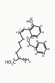 NC(CCCC/N=C\c1c(O)cccc1OCc1cccnc1)C(=O)O